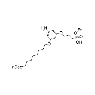 CCCCCCCCCCCCCCCCCCOc1cc(N)cc(OCCCP(=O)(O)OCC)c1